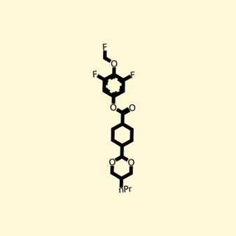 CCCC1COC(C2CCC(C(=O)Oc3cc(F)c(OCF)c(F)c3)CC2)OC1